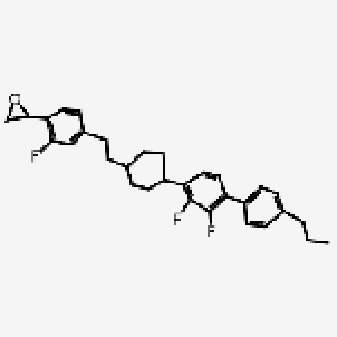 CCCc1ccc(-c2ccc(C3CCC(CCc4ccc(C5CO5)c(F)c4)CC3)c(F)c2F)cc1